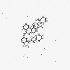 Cc1ccc(OC(Oc2ccc(C)c(OC(C)OC3CCCCC3)c2)c2ccccc2)cc1OC(C)OC1CCCCC1